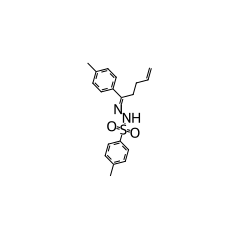 C=CCC/C(=N\NS(=O)(=O)c1ccc(C)cc1)c1ccc(C)cc1